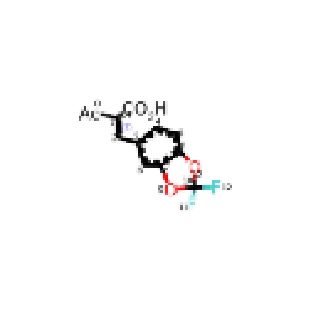 CC(=O)/C(=C/c1ccc2c(c1)OC(F)(F)O2)C(=O)O